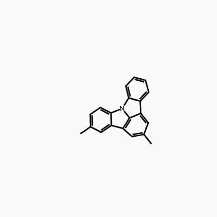 Cc1ccc2c(c1)c1cc(C)cc3c4ccccc4n2c31